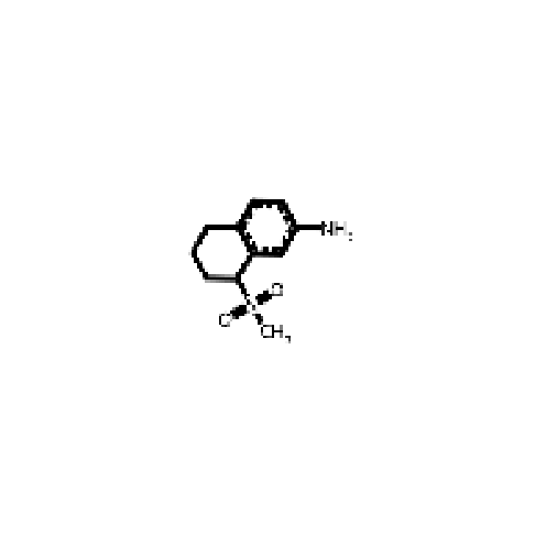 CS(=O)(=O)C1CCCc2ccc(N)cc21